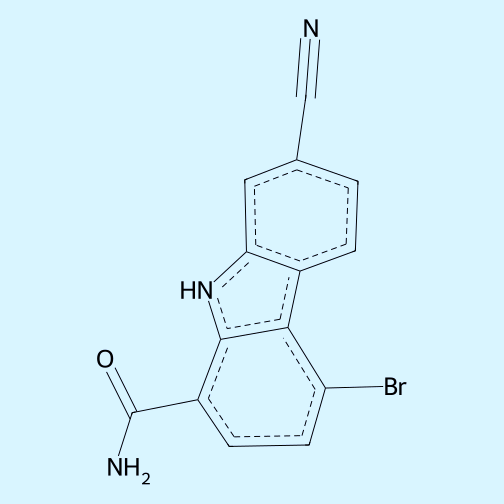 N#Cc1ccc2c(c1)[nH]c1c(C(N)=O)ccc(Br)c12